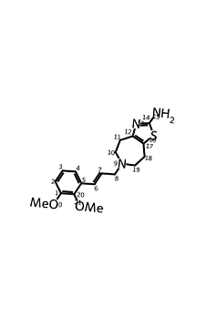 COc1cccc(C=CCN2CCc3nc(N)sc3CC2)c1OC